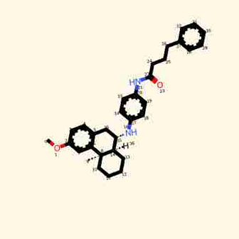 COc1ccc2c(c1)[C@]1(C)CCCC[C@@H]1[C@@H](Nc1ccc(NC(=O)CCCc3ccccc3)cc1)C2